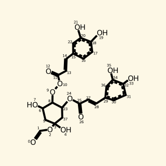 O=COC1(O)CC(O)C(OOC(=O)/C=C/c2ccc(O)c(O)c2)C(OC(=O)/C=C/c2ccc(O)c(O)c2)C1